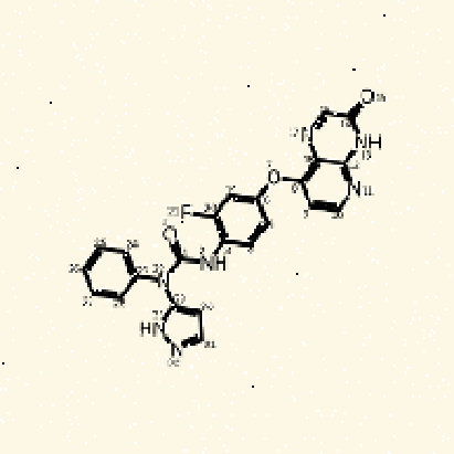 O=C(Nc1ccc(Oc2ccnc3[nH]c(=O)cnc23)cc1F)N(c1ccccc1)c1ccn[nH]1